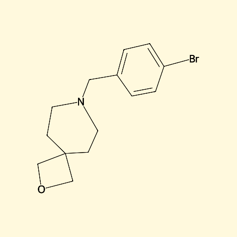 Brc1ccc(CN2CCC3(CC2)COC3)cc1